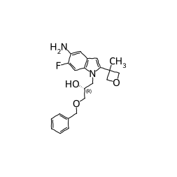 CC1(c2cc3cc(N)c(F)cc3n2C[C@@H](O)COCc2ccccc2)COC1